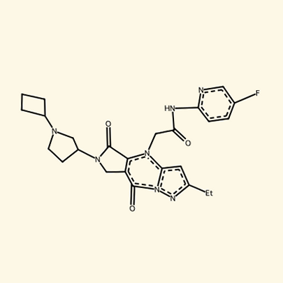 CCc1cc2n(CC(=O)Nc3ccc(F)cn3)c3c(c(=O)n2n1)CN(C1CCN(C2CCC2)C1)C3=O